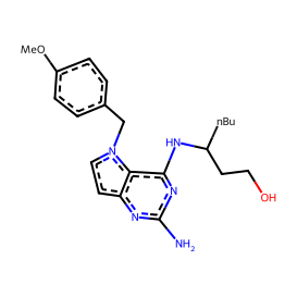 CCCCC(CCO)Nc1nc(N)nc2ccn(Cc3ccc(OC)cc3)c12